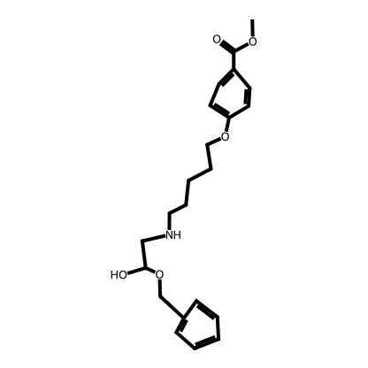 COC(=O)c1ccc(OCCCCCNCC(O)OCc2ccccc2)cc1